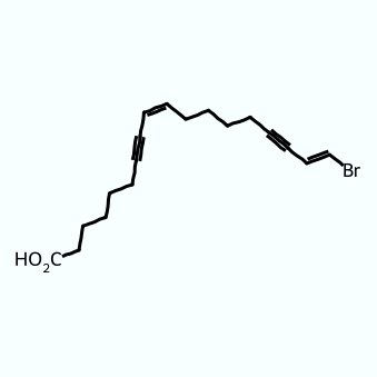 O=C(O)CCCCCC#C/C=C\CCCCC#C/C=C/Br